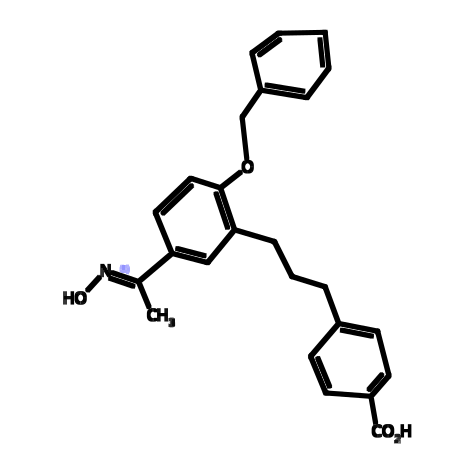 C/C(=N\O)c1ccc(OCc2ccccc2)c(CCCc2ccc(C(=O)O)cc2)c1